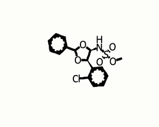 COS(=O)(=O)N[C@@H]1OC(c2ccccc2)O[C@@H]1c1ccccc1Cl